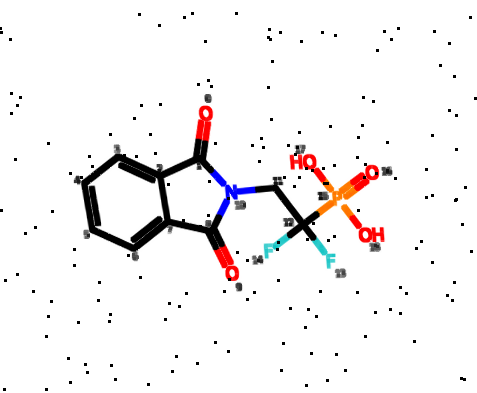 O=C1c2ccccc2C(=O)N1CC(F)(F)P(=O)(O)O